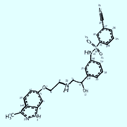 Cc1n[nH]c2cc(OCCNCC(O)c3cccc(NS(=O)(=O)c4cccc(C#N)c4)c3)ccc12